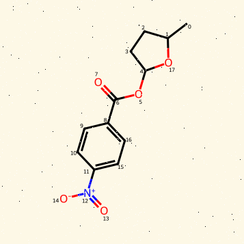 CC1CCC(OC(=O)c2ccc([N+](=O)[O-])cc2)O1